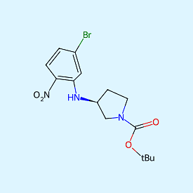 CC(C)(C)OC(=O)N1CC[C@H](Nc2cc(Br)ccc2[N+](=O)[O-])C1